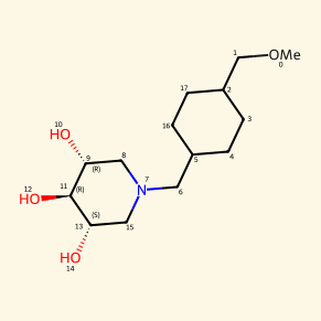 COCC1CCC(CN2C[C@@H](O)[C@H](O)[C@@H](O)C2)CC1